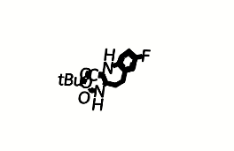 CC(C)(C)OC(=O)NC1CCc2cc(F)ccc2NC1=C=O